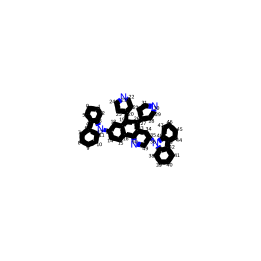 c1ccc2c(c1)c1ccccc1n2-c1ccc2c(c1)c(-c1ccncc1)c(-c1ccncc1)c1cc(-n3c4ccccc4c4ccccc43)cnc12